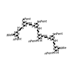 CCCCCSc1nc(NC)nc(NCCSc2nc(NCCSc3nc(NCCSC4=NC(SCCCCC)NC(NCCSc5nc(NCCSC6=NC(SCCCCC)NC(NC)=N6)nc(SCCCCC)n5)=N4)nc(SCCCCC)n3)nc(SCCCCC)n2)n1